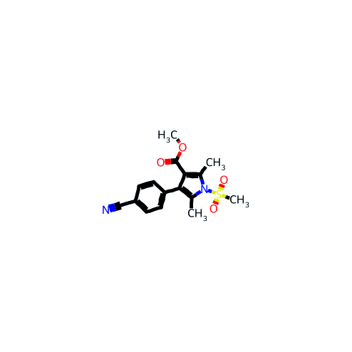 COC(=O)c1c(-c2ccc(C#N)cc2)c(C)n(S(C)(=O)=O)c1C